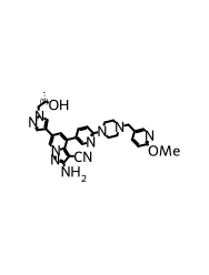 COc1ccc(CN2CCN(c3ccc(-c4cc(-c5cnn(C[C@H](C)O)c5)cn5nc(N)c(C#N)c45)cn3)CC2)cn1